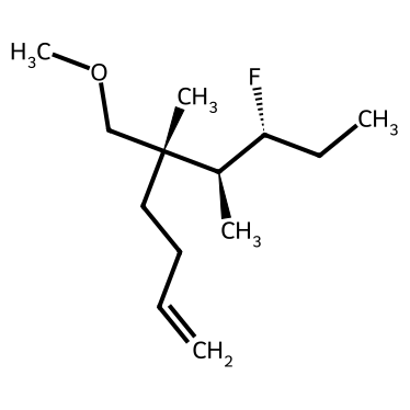 C=CCC[C@](C)(COC)[C@H](C)[C@H](F)CC